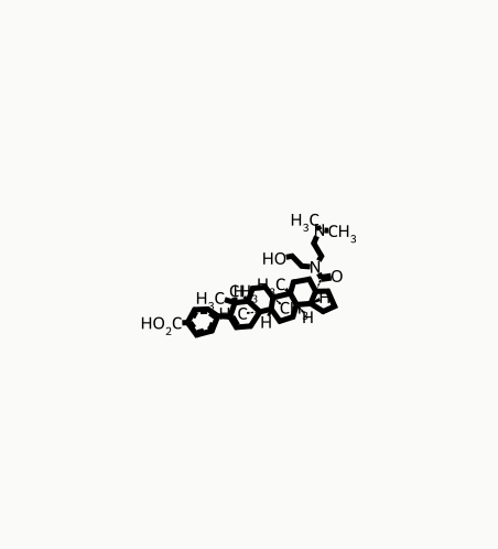 CN(C)CCN(CCO)C(=O)[C@]12CCC[C@@H]1[C@H]1CC[C@@H]3[C@@]4(C)CC=C(c5ccc(C(=O)O)cc5)C(C)(C)[C@@H]4CC[C@@]3(C)[C@]1(C)CC2